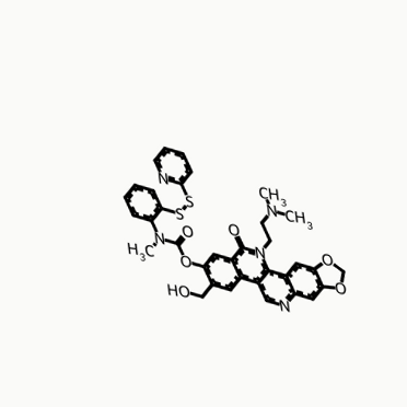 CN(C)CCn1c(=O)c2cc(OC(=O)N(C)c3ccccc3SSc3ccccn3)c(CO)cc2c2cnc3cc4c(cc3c21)OCO4